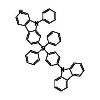 c1ccc(-n2c3cnccc3c3ccc([Si](c4ccccc4)(c4ccccc4)c4ccc(-n5c6ccccc6c6ccccc65)cc4)cc32)cc1